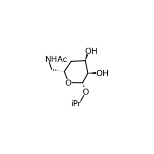 CC(=O)NC[C@@H]1C[C@@H](O)[C@@H](O)[C@H](OC(C)C)O1